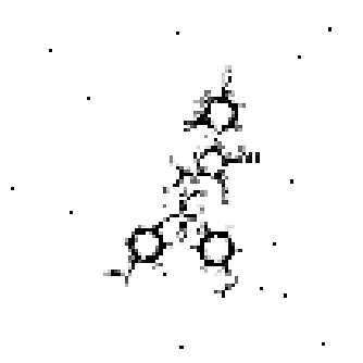 COc1ccc(OP(=O)(OC[C@]2(C(F)F)O[C@H](n3ccc(=O)[nH]c3=O)C(O)C2F)Oc2ccc(OC)cc2)cc1